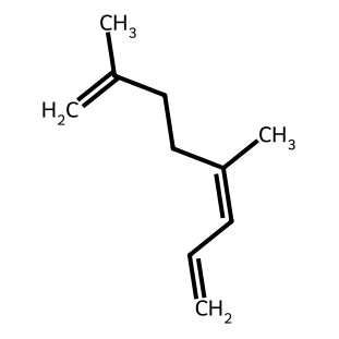 C=CC=C(C)CCC(=C)C